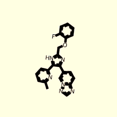 Cc1cccc(-c2[nH]c(COc3ccccc3F)nc2-c2ccc3ncnn3c2)n1